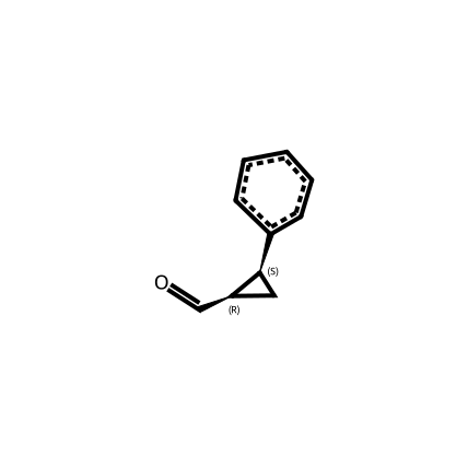 O=C[C@@H]1C[C@@H]1c1ccccc1